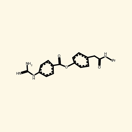 CC(C)NC(=O)Cc1ccc(OC(=O)c2ccc(NC(=N)N)cc2)cc1